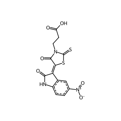 O=C(O)CCN1C(=O)/C(=C2\C(=O)Nc3ccc([N+](=O)[O-])cc32)SC1=S